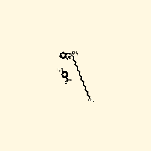 CCCCCCCCCCCCCCCCCC[N+](C)(C)Cc1ccccc1.Nc1ccc(C(=O)[O-])cc1